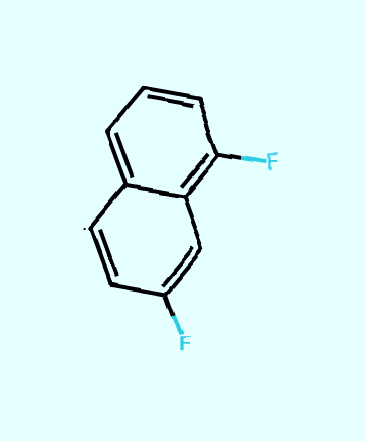 Fc1c[c]c2cccc(F)c2c1